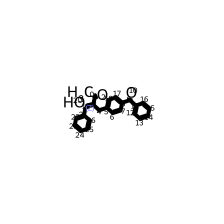 CC(=O)/C(Cc1ccc(C(=O)c2ccccc2)cc1)=C(\O)c1ccccc1